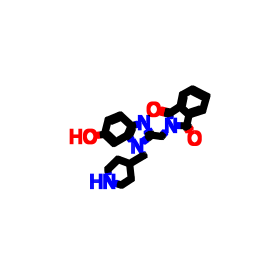 O=C1c2ccccc2C(=O)N1Cc1nc2ccc(O)cc2n1CC1CCNCC1